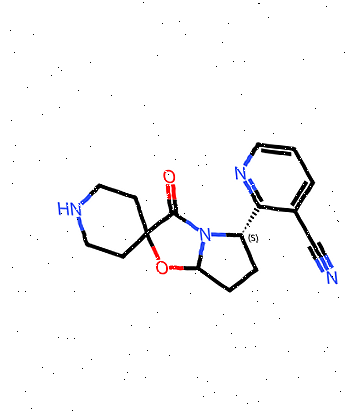 N#Cc1cccnc1[C@@H]1CCC2OC3(CCNCC3)C(=O)N21